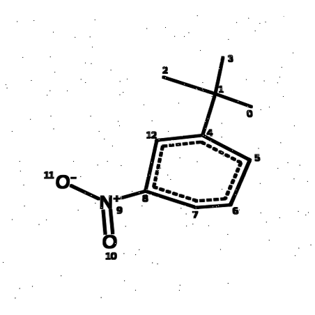 CC(C)(C)c1cccc([N+](=O)[O-])c1